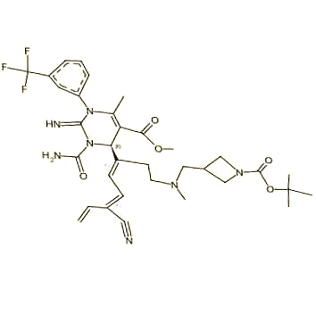 C=C/C(C#N)=C\C=C(/CCN(C)CC1CN(C(=O)OC(C)(C)C)C1)[C@@H]1C(C(=O)OC)=C(C)N(c2cccc(C(F)(F)F)c2)C(=N)N1C(N)=O